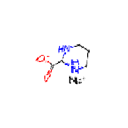 O=C([O-])C1NCCCN1.[Na+]